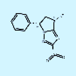 O=[SH](=O)c1nc2n(n1)[C@H](c1ccccc1)C[C@@H]2F